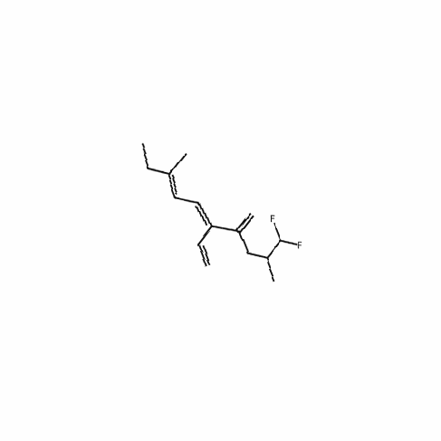 C=C/C(=C\C=C(/C)CC)C(=C)CC(C)C(F)F